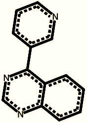 c1cncc(-c2ncnc3ccccc23)c1